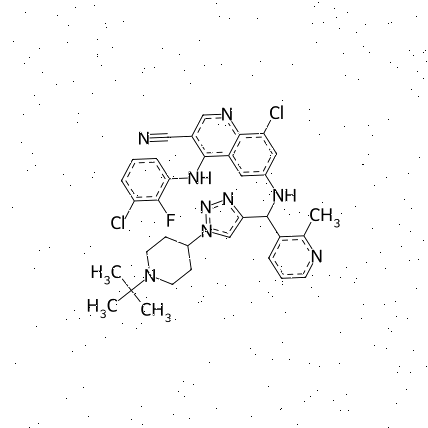 Cc1ncccc1C(Nc1cc(Cl)c2ncc(C#N)c(Nc3cccc(Cl)c3F)c2c1)c1cn(C2CCN(C(C)(C)C)CC2)nn1